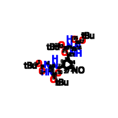 CC(C)(C)OC(=O)/N=C(/NCc1cc(CN/C(=N/C(=O)OC(C)(C)C)NC(=O)OC(C)(C)C)cc(N=O)c1)NC(=O)OC(C)(C)C